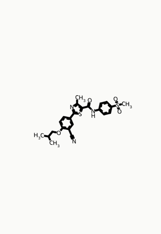 Cc1nc(-c2ccc(OCC(C)C)c(C#N)c2)sc1C(=O)Nc1ccc(S(C)(=O)=O)cc1